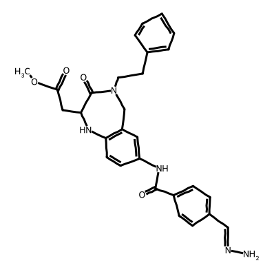 COC(=O)CC1Nc2ccc(NC(=O)c3ccc(C=NN)cc3)cc2CN(CCc2ccccc2)C1=O